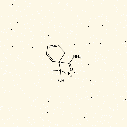 CC(O)(C(F)(F)F)C1(C(N)=O)C=CC=CC1